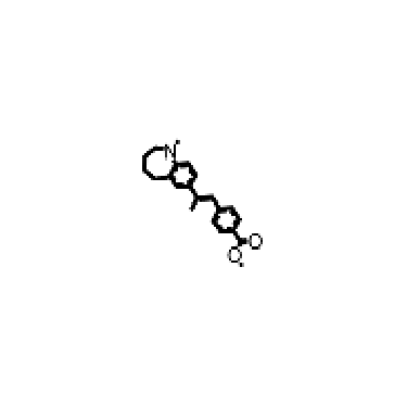 COC(=O)c1ccc(C=C(C)c2ccc3c(c2)CCCCN3C)cc1